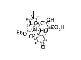 CCOCCN(Cc1ccc(Cl)cc1Cl)C1CCNCC1.O=C(O)C(O)C(O)C(=O)O